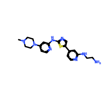 CN1CCN(c2ccnc(Nc3ncc(-c4ccnc(NCCN)c4)s3)c2)CC1